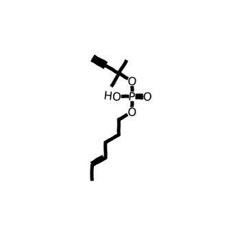 C#CC(C)(C)OP(=O)(O)OCCCC=CC